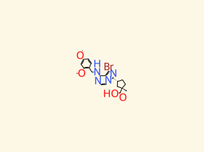 COc1ccc(CNc2nccn3c([C@@H]4CC[C@](C)(C(=O)O)C4)nc(Br)c23)c(OC)c1